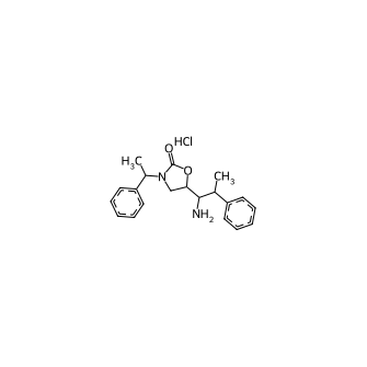 CC(c1ccccc1)C(N)C1CN(C(C)c2ccccc2)C(=O)O1.Cl